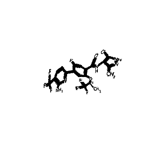 Cc1n[nH]c(Cl)c1NC(=O)c1cc(F)c(-c2ccc(C(F)(F)F)c(N)n2)cc1O[C@@H](C)C(F)(F)F